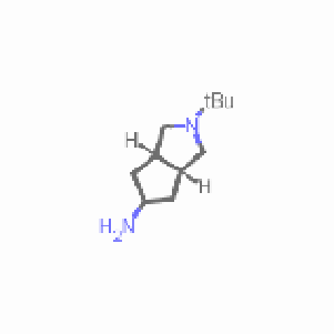 CC(C)(C)N1C[C@H]2CC(N)C[C@H]2C1